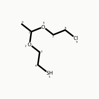 CC(OCCS)OCCCl